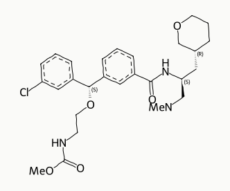 CNC[C@H](C[C@H]1CCCOC1)NC(=O)c1cccc([C@H](OCCNC(=O)OC)c2cccc(Cl)c2)c1